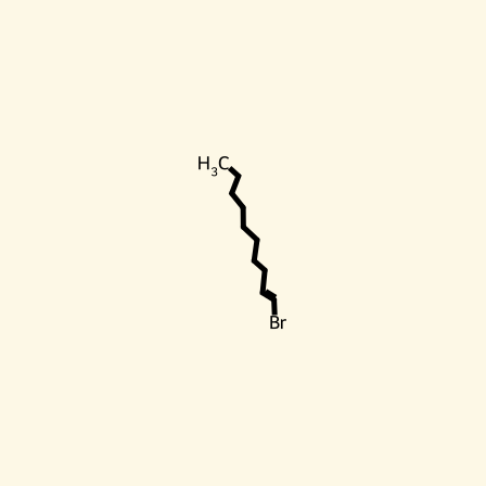 CCCCCCCCC=CBr